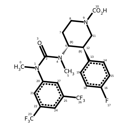 CN(C(=O)N(C)[C@@H]1CCN(C(=O)O)C[C@H]1c1ccc(F)cc1)c1cc(C(F)(F)F)cc(C(F)(F)F)c1